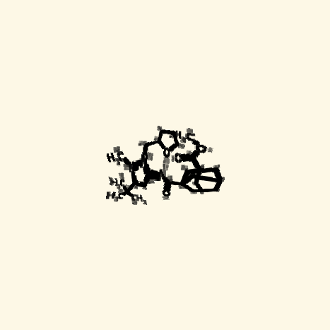 COC(=O)C12CC3CC(CC(C(=O)N=c4cc(C(C)(C)C)n(C)n4C[C@H]4CCCO4)(C3)C1)C2